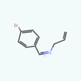 C=CC/N=C\c1ccc(Br)cc1